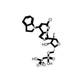 O=P(O)(O)CP(=O)(O)OC[C@H]1OC[C@@](F)(c2ncc3c(N4CCc5ccccc54)cc(Cl)nn23)[C@@H]1O